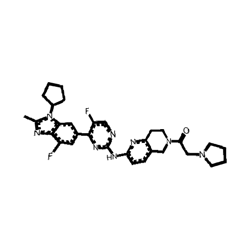 Cc1nc2c(F)cc(-c3nc(Nc4ccc5c(n4)CCN(C(=O)CN4CCCC4)C5)ncc3F)cc2n1C1CCCC1